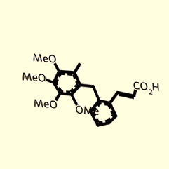 COc1c(C)c(Cc2ccccc2/C=C/C(=O)O)c(OC)c(OC)c1OC